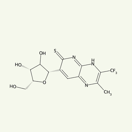 Cc1nc2cc([C@@H]3O[C@H](CO)[C@H](O)C3O)c(=S)nc-2[nH]c1C(F)(F)F